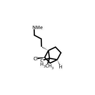 CNCCC[C@@]12CC[C@@H](C[C@H]1Cl)C2(C)C